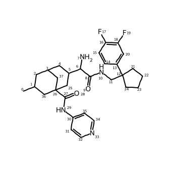 CC1CC2CC(C(N)C(=O)NCC3(c4ccc(F)c(F)c4)CCCC3)CC(C(=O)Nc3ccncc3)(C1)C2